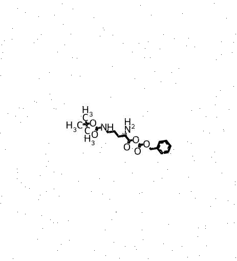 CC(C)(C)OC(=O)NCCC[C@H](N)C(=O)OC(=O)OCc1ccccc1